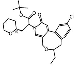 CCC1Cc2ccc(Cl)cc2-c2cc(=O)n(C(C[C@@H]3CCCCO3)C(=O)OC(C)(C)C)cc2CO1